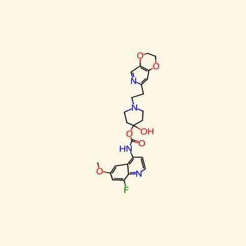 COc1cc(F)c2nccc(NC(=O)OC3(O)CCN(CCc4cc5c(cn4)OCCO5)CC3)c2c1